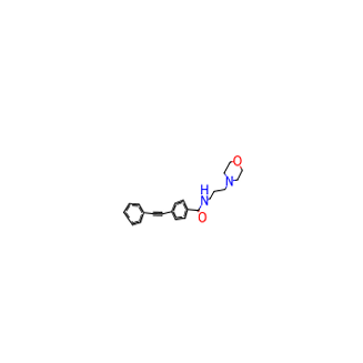 O=C(NCCCN1CCOCC1)c1ccc(C#Cc2ccccc2)cc1